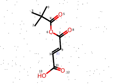 CC(C)(C)C(=O)OC(=O)/C=C/C(=O)O